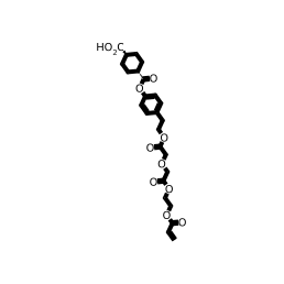 C=CC(=O)OCCOC(=O)COCC(=O)OCCc1ccc(OC(=O)[C@H]2CC[C@H](C(=O)O)CC2)cc1